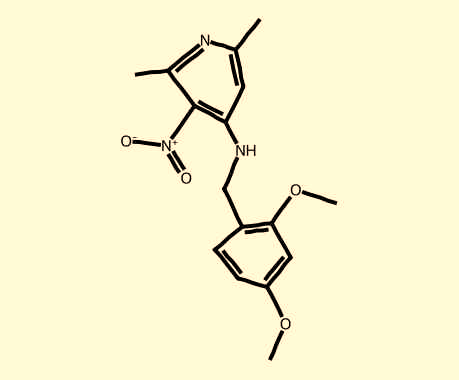 COc1ccc(CNc2cc(C)nc(C)c2[N+](=O)[O-])c(OC)c1